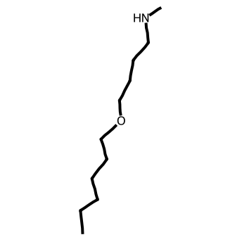 CCCCCCOCCCCNC